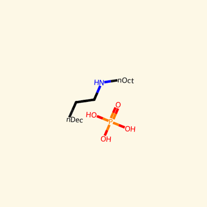 CCCCCCCCCCCCNCCCCCCCC.O=P(O)(O)O